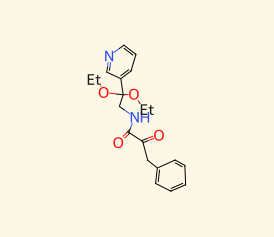 CCOC(CNC(=O)C(=O)Cc1ccccc1)(OCC)c1cccnc1